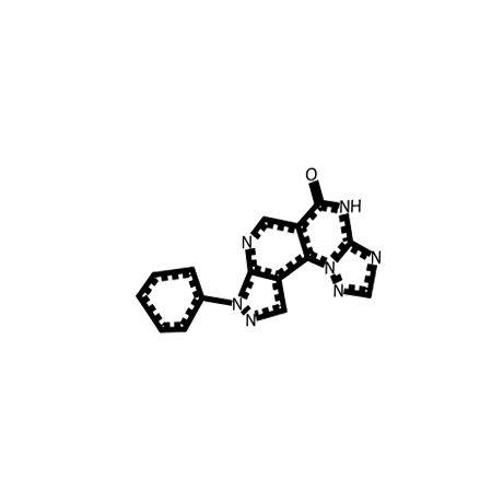 O=c1[nH]c2ncnn2c2c1cnc1c2cnn1-c1ccccc1